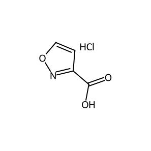 Cl.O=C(O)c1ccon1